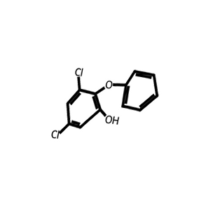 Oc1cc(Cl)cc(Cl)c1Oc1ccccc1